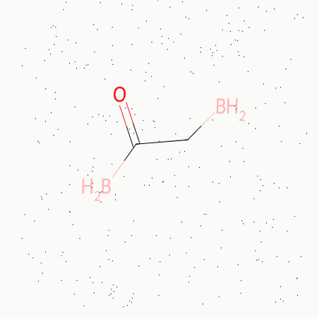 BCC(B)=O